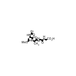 CCC(=O)N[C@@H](CCSC)C(=O)N[C@@H](C)C(=O)NCC(=O)NCC(=O)O